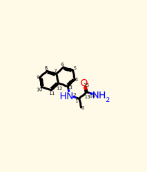 CC(Nc1cccc2ccccc12)C(N)=O